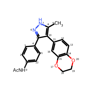 CC(=O)Nc1ccc(-c2n[nH]c(C)c2-c2ccc3c(c2)OCCO3)cc1